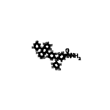 NNC(=O)c1ccc(N(c2ccccc2)c2ccc(-c3c4ccccc4c(-c4ccccc4)c4ccccc34)cc2)cc1